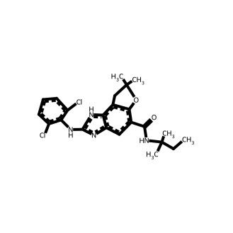 CCC(C)(C)NC(=O)c1cc2nc(Nc3c(Cl)cccc3Cl)[nH]c2c2c1OC(C)(C)C2